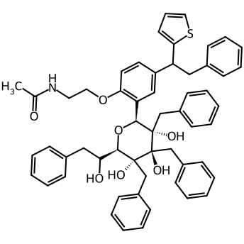 CC(=O)NCCOc1ccc(C(Cc2ccccc2)c2cccs2)cc1[C@@H]1O[C@H](C(O)Cc2ccccc2)[C@](O)(Cc2ccccc2)[C@@](O)(Cc2ccccc2)[C@]1(O)Cc1ccccc1